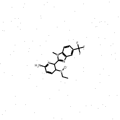 CC[S+]([O-])C1C=CC(N)=NC1c1nc2cc(C(F)(F)F)ccc2n1C